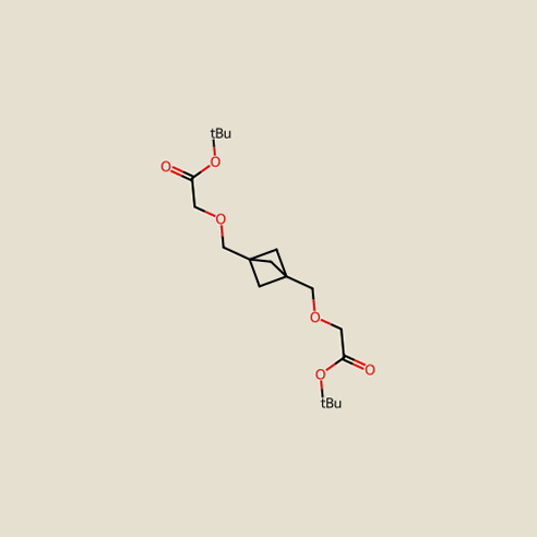 CC(C)(C)OC(=O)COCC12CC(COCC(=O)OC(C)(C)C)(C1)C2